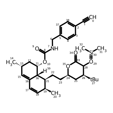 C#Cc1ccc(CNC(=O)O[C@H]2C[C@@H](C)C=C3C=C[C@H](C)[C@H](CC[C@@H]4C[C@H](C(C)(C)C)C(O[SiH](C)C)C(=O)O4)[C@H]32)cc1